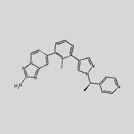 C[C@H](c1ccncc1)n1cc(-c2cccc(-c3ccn4nc(N)nc4c3)c2F)cn1